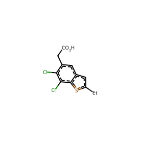 CCc1cc2cc(CC(=O)O)c(Cl)c(Cl)c2s1